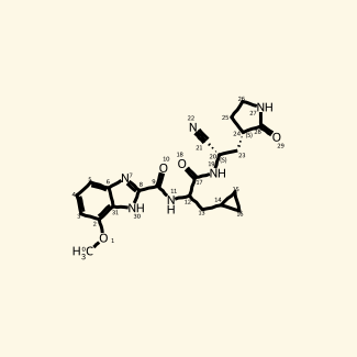 COc1cccc2nc(C(=O)NC(CC3CC3)C(=O)N[C@H](C#N)C[C@@H]3CCNC3=O)[nH]c12